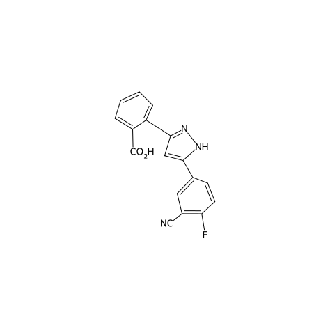 N#Cc1cc(-c2cc(-c3ccccc3C(=O)O)n[nH]2)ccc1F